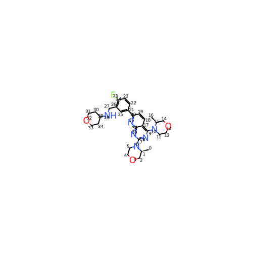 C[C@H]1COCCN1c1nc(N2CCOC[C@@H]2C)c2ccc(-c3ccc(F)c(CNC4CCOCC4)c3)nc2n1